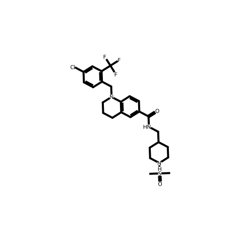 C[SH](C)(=O)N1CCC(CNC(=O)c2ccc3c(c2)CCCN3Cc2ccc(Cl)cc2C(F)(F)F)CC1